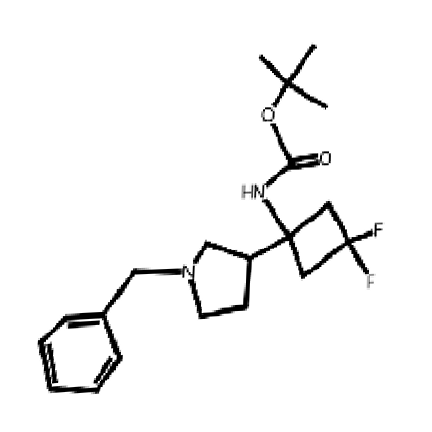 CC(C)(C)OC(=O)NC1(C2CCN(Cc3ccccc3)C2)CC(F)(F)C1